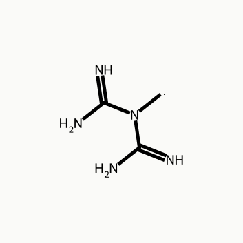 [CH2]N(C(=N)N)C(=N)N